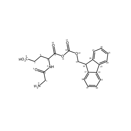 NCC(=O)NC(CCC(=O)O)C(=O)OC(=O)OCC1c2ccccc2-c2ccccc21